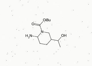 CC(C)COC(=O)N1CC(C(C)O)CCC1N